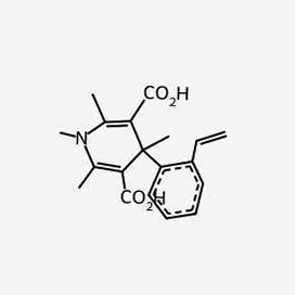 C=Cc1ccccc1C1(C)C(C(=O)O)=C(C)N(C)C(C)=C1C(=O)O